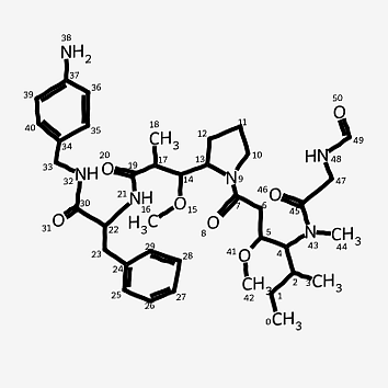 CCC(C)C(C(CC(=O)N1CCCC1C(OC)C(C)C(=O)NC(Cc1ccccc1)C(=O)NCc1ccc(N)cc1)OC)N(C)C(=O)CNC=O